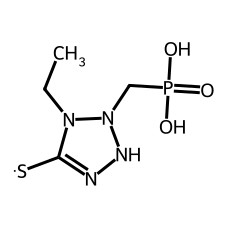 CCN1C([S])=NNN1CP(=O)(O)O